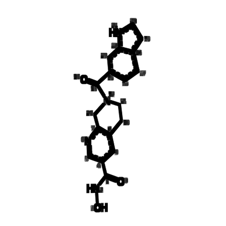 O=C(NO)c1cnc2c(c1)CCN(C(=O)c1ccc3cc[nH]c3c1)C2